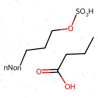 CCCC(=O)O.CCCCCCCCCCCCOS(=O)(=O)O